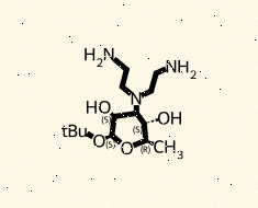 C[C@H]1O[C@@H](OC(C)(C)C)[C@@H](O)C(N(CCN)CCN)[C@@H]1O